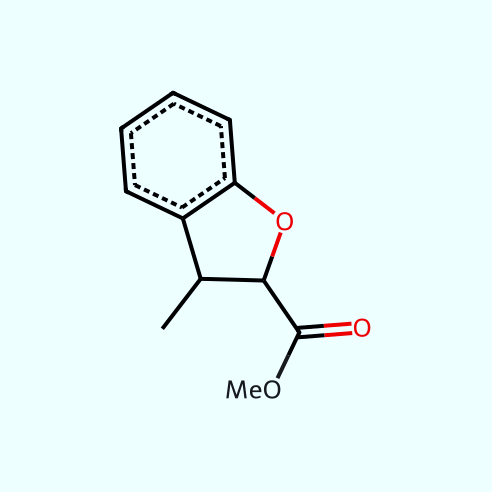 COC(=O)C1Oc2ccccc2C1C